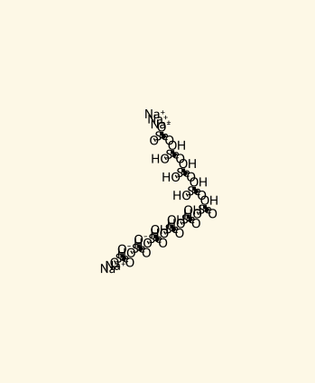 O=[Se](O)O.O=[Se](O)O.O=[Se](O)O.O=[Se](O)O.O=[Se](O)O.O=[Se](O)O.O=[Se](O)O.O=[Se]([O-])O.O=[Se]([O-])[O-].O=[Se]([O-])[O-].[Na+].[Na+].[Na+].[Na+].[Na+]